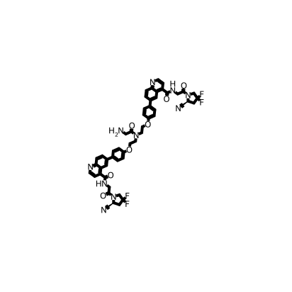 N#C[C@@H]1CC(F)(F)CN1C(=O)CNC(=O)c1ccnc2ccc(-c3ccc(OCCN(CCOc4ccc(-c5ccc6nccc(C(=O)NCC(=O)N7CC(F)(F)C[C@H]7C#N)c6c5)cc4)C(=O)CN)cc3)cc12